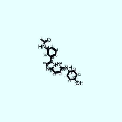 CC(=O)Nc1cccc(-c2cnc3ccc(N[C@H]4CC[C@H](O)CC4)nn23)c1